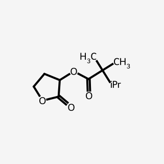 CC(C)C(C)(C)C(=O)OC1CCOC1=O